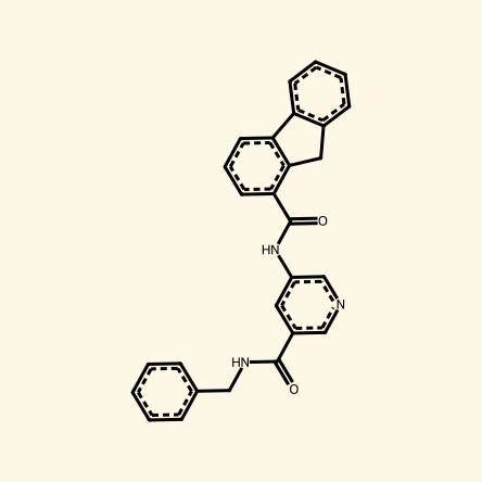 O=C(NCc1ccccc1)c1cncc(NC(=O)c2cccc3c2Cc2ccccc2-3)c1